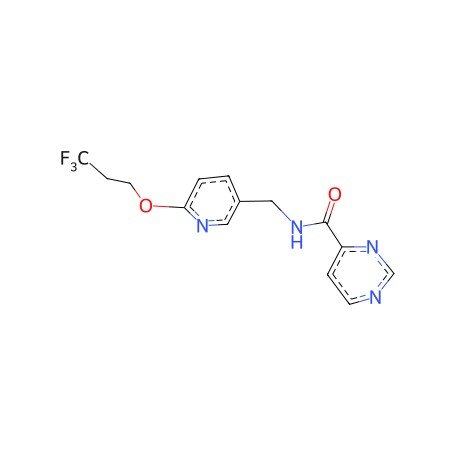 O=C(NCc1ccc(OCCC(F)(F)F)nc1)c1ccncn1